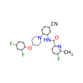 Cc1nc(C(=O)Nc2cc(C#N)ccc2N2CCC(Oc3ccc(F)cc3F)CC2)ccc1F